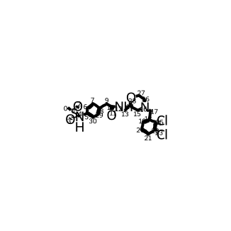 CS(=O)(=O)Nc1ccc(CC(=O)NCC2CN(Cc3cccc(Cl)c3Cl)CCO2)cc1